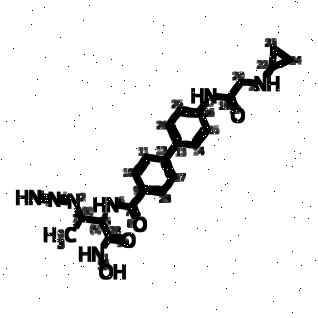 C[C@@H](N=[N+]=N)[C@H](NC(=O)c1ccc(-c2ccc(NC(=O)CNC3CC3)cc2)cc1)C(=O)NO